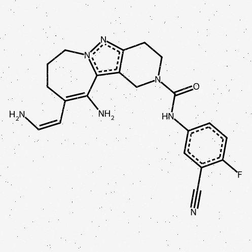 N#Cc1cc(NC(=O)N2CCc3nn4c(c3C2)C(N)=C(/C=C\N)CCC4)ccc1F